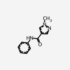 Cn1cc(C(=O)Nc2ccccc2)cn1